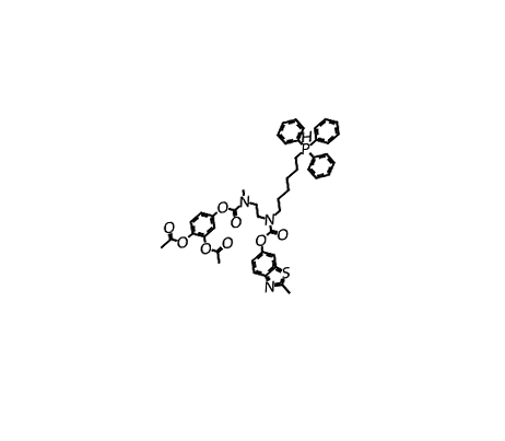 CC(=O)Oc1ccc(OC(=O)N(C)CCN(CCCCCC[PH](c2ccccc2)(c2ccccc2)c2ccccc2)C(=O)Oc2ccc3nc(C)sc3c2)cc1OC(C)=O